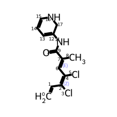 C=C/C(Cl)=C(Cl)\C=C(/C)C(=O)NC1=CC=CNC1